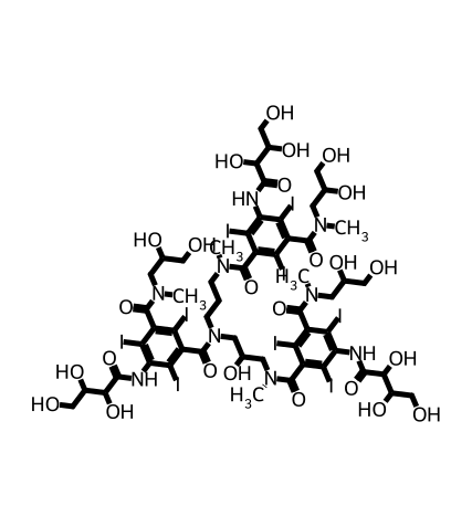 CN(CCCN(CC(O)CN(C)C(=O)c1c(I)c(NC(=O)C(O)C(O)CO)c(I)c(C(=O)N(C)CC(O)CO)c1I)C(=O)c1c(I)c(NC(=O)C(O)C(O)CO)c(I)c(C(=O)N(C)CC(O)CO)c1I)C(=O)c1c(I)c(NC(=O)C(O)C(O)CO)c(I)c(C(=O)N(C)CC(O)CO)c1I